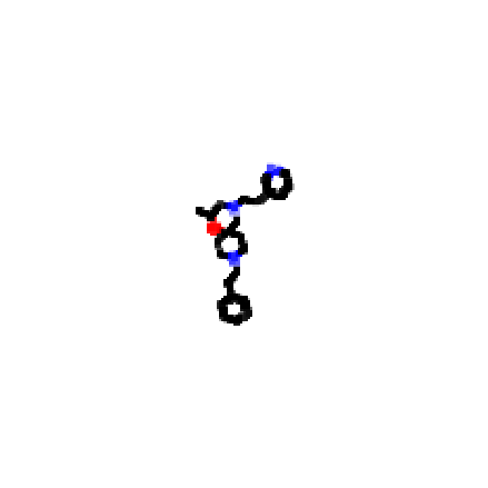 CC1CN(CCc2cccnc2)CC2(CCN(CCc3ccccc3)CC2)O1